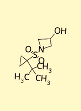 CC(C)(C)C1(S(=O)(=O)N2CC(O)C2)CC1